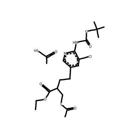 CC(=O)S.CCOC(=O)C(CCc1cnc(NC(=O)OC(C)(C)C)c(Cl)c1)CSC(C)=O